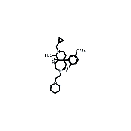 COc1ccc(C)c(C23CCN(CCN4CCCCC4)CCC2(O)C(C)N(CC2CC2)CC3)c1